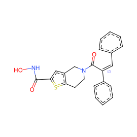 O=C(NO)c1cc2c(s1)CCN(C(=O)/C(=C\c1ccccc1)c1ccccc1)C2